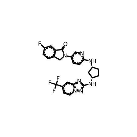 O=C1c2cc(F)ccc2CN1c1ccc(N[C@H]2CC[C@H](Nc3nc4cc(C(F)(F)F)ccn4n3)C2)nc1